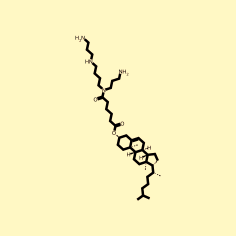 CC(C)CCC[C@@H](C)[C@H]1CC[C@H]2[C@@H]3CC=C4C[C@@H](OC(=O)CCCCC(=O)N(CCCN)CCCCNCCCN)CC[C@]4(C)[C@H]3CC[C@]12C